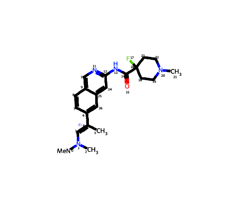 CNN(C)/C=C(\C)c1ccc2cnc(NC(=O)C3(F)CCN(C)CC3)cc2c1